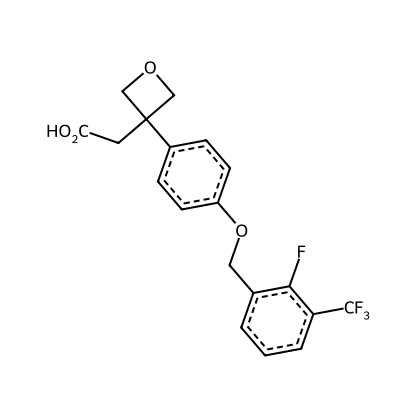 O=C(O)CC1(c2ccc(OCc3cccc(C(F)(F)F)c3F)cc2)COC1